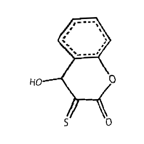 O=C1Oc2ccccc2C(O)C1=S